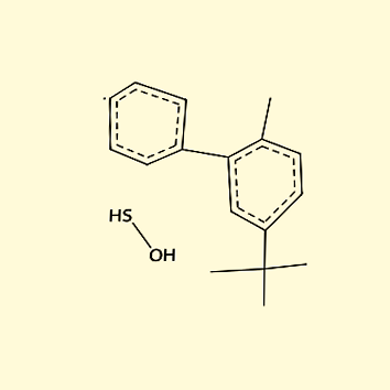 Cc1ccc(C(C)(C)C)cc1-c1cc[c]cc1.OS